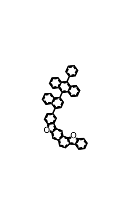 c1ccc(-c2c3ccccc3c(-c3ccc(-c4ccc5oc6cc7ccc8c9ccccc9oc8c7cc6c5c4)c4ccccc34)c3ccccc23)cc1